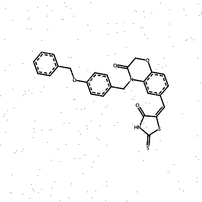 O=C1NC(=S)SC1=Cc1ccc2c(c1)N(Cc1ccc(OCc3ccccc3)cc1)C(=O)CO2